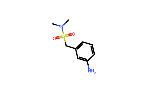 CN(C)S(=O)(=O)Cc1cccc(N)c1